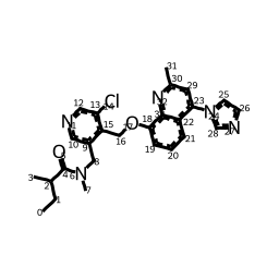 CCC(C)C(=O)N(C)Cc1cncc(Cl)c1COc1cccc2c(-n3ccnc3)cc(C)nc12